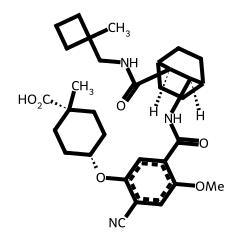 COc1cc(C#N)c(O[C@H]2CC[C@@](C)(C(=O)O)CC2)cc1C(=O)N[C@@H]1C2CCC(CC2)[C@@H]1C(=O)NCC1(C)CCC1